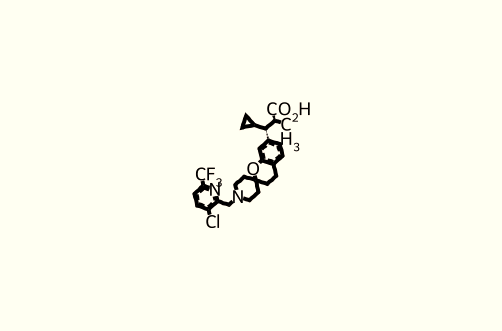 C[C@H](C(=O)O)[C@H](c1ccc2c(c1)OC1(CC2)CCN(Cc2nc(C(F)(F)F)ccc2Cl)CC1)C1CC1